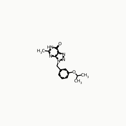 Cc1nc2c(nnn2Cc2cccc(OC(C)C)c2)c(=O)[nH]1